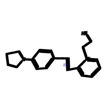 SCC[n+]1ccccc1/C=C/c1ccc(N2CCCC2)cc1